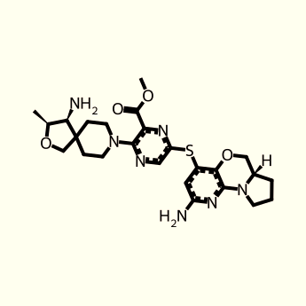 COC(=O)c1nc(Sc2cc(N)nc3c2OC[C@@H]2CCCN32)cnc1N1CCC2(CC1)CO[C@@H](C)[C@H]2N